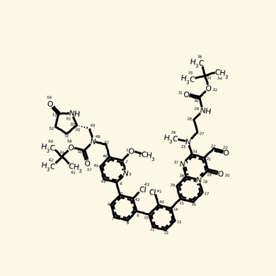 COc1nc(-c2cccc(-c3cccc(-c4ccn5c(=O)c(C=O)c(N(C)CCNC(=O)OC(C)(C)C)nc5c4)c3Cl)c2Cl)ccc1CN(C[C@@H]1CCC(=O)N1)C(=O)OC(C)(C)C